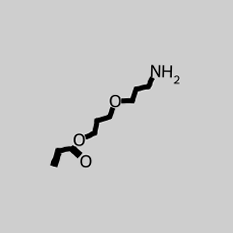 C=CC(=O)OCCCOCCCN